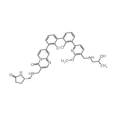 COc1nc(-c2cccc(-c3cccc(-c4ccn5c(=O)c(CNC[C@H]6CCC(=O)N6)cnc5c4)c3Cl)c2Cl)ccc1CNC[C@H](C)O